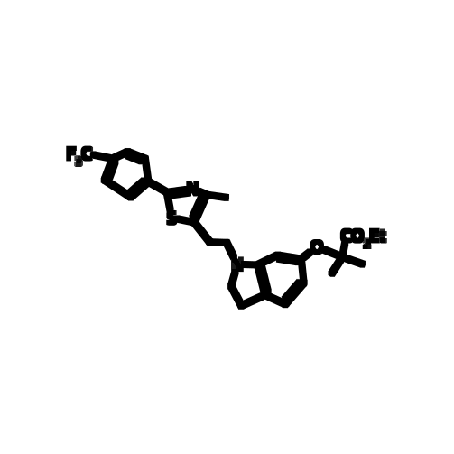 CCOC(=O)C(C)(C)Oc1ccc2c(c1)N(CCc1sc(-c3ccc(C(F)(F)F)cc3)nc1C)CC2